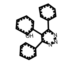 Oc1ccccc1-c1c(-c2ccccc2)nnnc1-c1ccccc1